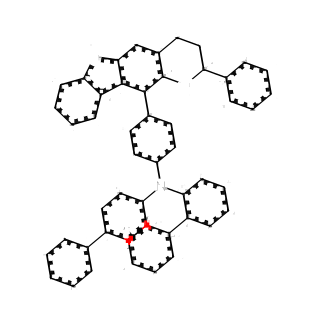 c1ccc(-c2ccc(N(c3ccc(-c4c5c(cc6oc7ccccc7c46)CCC(c4ccccc4)O5)cc3)c3ccccc3-c3ccccc3)cc2)cc1